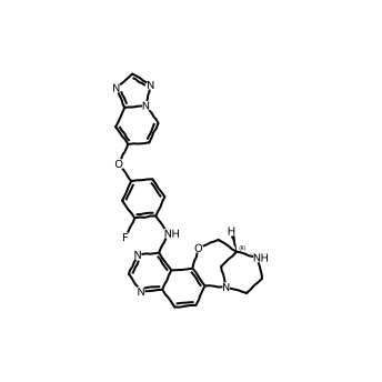 Fc1cc(Oc2ccn3ncnc3c2)ccc1Nc1ncnc2ccc3c(c12)OC[C@H]1CN3CCN1